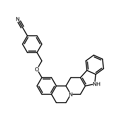 N#Cc1ccc(COc2ccc3c(c2)C2Cc4c([nH]c5ccccc45)CN2CC3)cc1